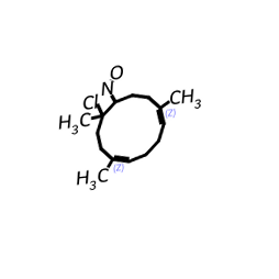 C/C1=C/CC/C=C(/C)CCC(C)(Cl)C(N=O)CC1